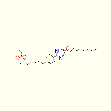 C=CCCCCCCOc1cnc(-c2ccc(CCCCCC(C)OC(=O)CC)cc2)nc1